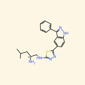 CC(C)C[C@H](N)CNc1nnc(-c2ccc3[nH]nc(-c4ccccc4)c3c2)s1